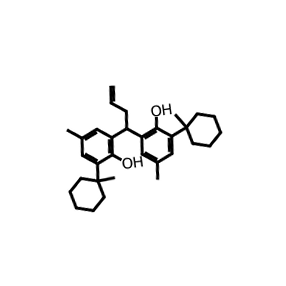 C=CCC(c1cc(C)cc(C2(C)CCCCC2)c1O)c1cc(C)cc(C2(C)CCCCC2)c1O